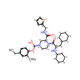 COc1cc(CC#N)ccc1OC(O)N1CCN(C(=O)[C@@H](CC2CCCCC2)NC2CCCCC2)[C@H](C(=O)NCc2cccs2)C1